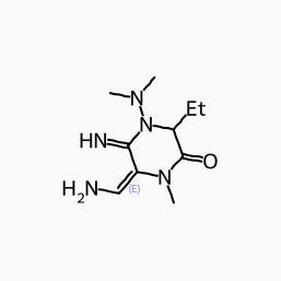 CCC1C(=O)N(C)/C(=C/N)C(=N)N1N(C)C